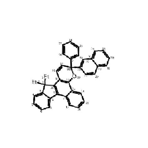 CCC1(CC)c2ccccc2-c2c1c1c(c3ccccc23)OC(c2ccccc2)(c2ccc3ccccc3c2)C=C1